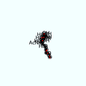 CC(=O)NC1C(O)[C@H](O[C@@H]2OC(CO)[C@H](O)C(O[C@H]3OC(CO)[C@H](O)C(O)C3O)C2O)C(CO)O[C@H]1OCCCNC(=O)COc1ccc(-c2cccc(C(=O)OCc3ccccc3)c2)cc1